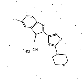 Cl.Cl.Cn1c(-c2noc(N3CCNCC3)n2)nc2ccc(F)cc21